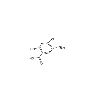 N#Cc1cc(C(=O)O)c(O)cc1Cl